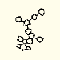 c1ccc(-c2ccc(-c3nc(-c4ccccc4)nc(-c4ccc5c(c4)nc(-c4ccccc4)c4ccc6c(c45)-c4ccccc4C64c5ccccc5Oc5ccccc54)n3)cc2)cc1